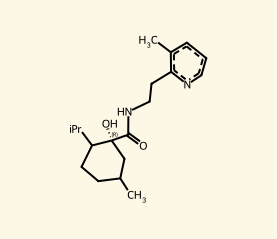 Cc1cccnc1CCNC(=O)[C@@]1(O)CC(C)CCC1C(C)C